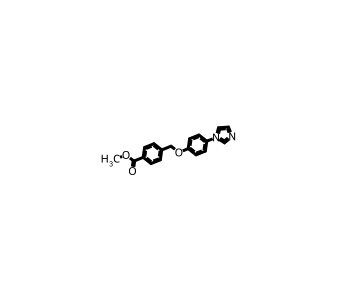 COC(=O)c1ccc(COc2ccc(-n3ccnc3)cc2)cc1